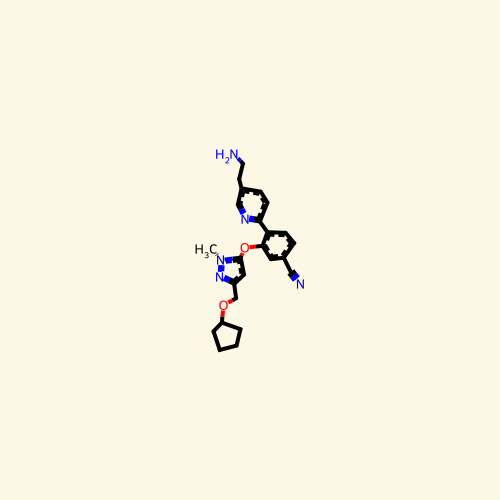 Cn1nc(COC2CCCC2)cc1Oc1cc(C#N)ccc1-c1ccc(CCN)cn1